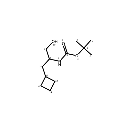 CC(C)(C)OC(=O)NC(CO)CC1CCC1